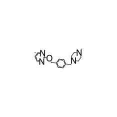 CN1CCN(Cc2ccc(COc3n[c]ccn3)cc2)CC1